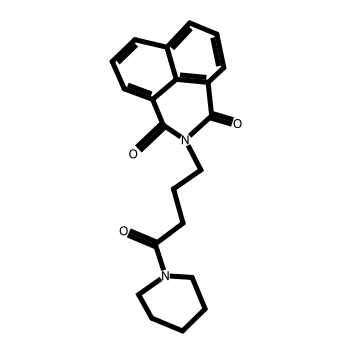 O=C(CCCN1C(=O)c2cccc3cccc(c23)C1=O)N1CCCCC1